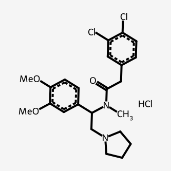 COc1ccc(C(CN2CCCC2)N(C)C(=O)Cc2ccc(Cl)c(Cl)c2)cc1OC.Cl